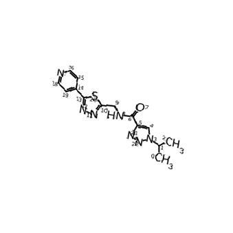 CC(C)n1cc(C(=O)NCc2nnc(-c3ccncc3)s2)nn1